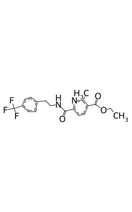 CCOC(=O)c1ccc(C(=O)NCCc2ccc(C(F)(F)F)cc2)nc1C